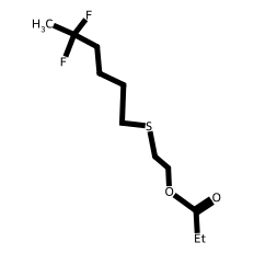 CCC(=O)OCCSCCCCC(C)(F)F